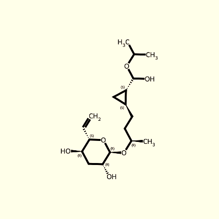 C=C[C@@H]1O[C@@H](O[C@H](C)CC[C@H]2C[C@@H]2C(O)OC(C)C)[C@H](O)C[C@H]1O